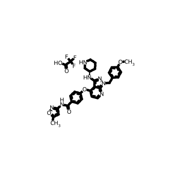 COc1ccc(Cn2nc(N[C@@H]3CCCNC3)c3c(Oc4ccc(C(=O)Nc5cc(C)on5)cc4)ccnc32)cc1.O=C(O)C(F)(F)F